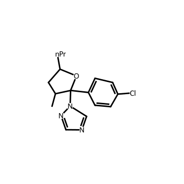 CCCC1CC(C)C(c2ccc(Cl)cc2)(n2cncn2)O1